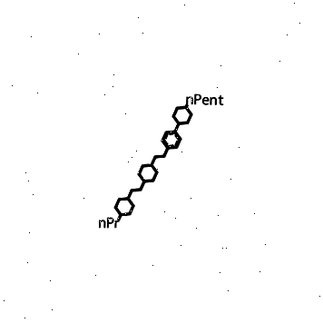 CCCCCC1CCC(c2ccc(CCC3CCC(CCC4CCC(CCC)CC4)CC3)cc2)CC1